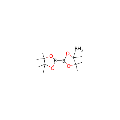 BC1(C)OB(B2OC(C)(C)C(C)(C)O2)OC1(C)C